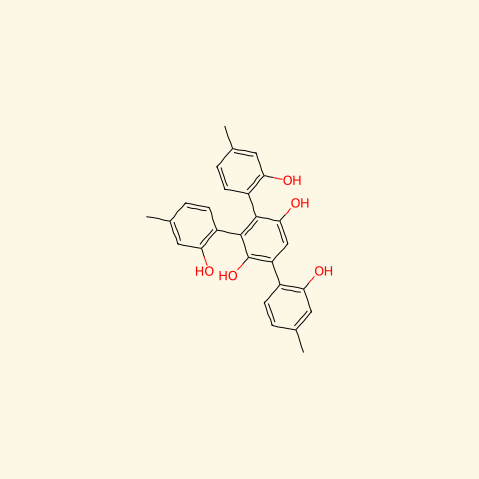 Cc1ccc(-c2cc(O)c(-c3ccc(C)cc3O)c(-c3ccc(C)cc3O)c2O)c(O)c1